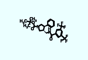 CC(C)(C)OC(=O)N1C[C@@H](CNC(=O)c2cc(C(F)(F)F)cc(C(F)(F)F)c2)[C@H](c2ccccc2)C1